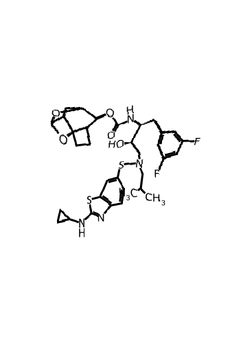 CC(C)CN(C[C@@H](O)[C@H](Cc1cc(F)cc(F)c1)NC(=O)OC1C2CC3C(O2)OC32CCC12)Sc1ccc2nc(NC3CC3)sc2c1